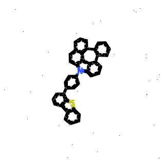 c1ccc2c(c1)-c1cccc3ccc4c(c13)c1c-2cccc1n4-c1ccc(-c2cccc3c2sc2ccccc23)cc1